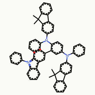 CC1(C)c2ccccc2-c2ccc(N(c3ccccc3)c3ccc(N(c4ccccc4)c4ccc5c(c4)C(C)(C)c4ccccc4-5)c(-c4ccc5c(c4)c4ccccc4n5-c4ccccc4)c3)cc21